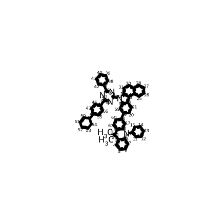 CC1(C)c2ccccc2N(c2ccccc2)c2cc(-c3ccc4c5c6ccccc6ccc5n(-c5nc(-c6ccccc6)nc(-c6ccc(C7C=CC=CC7)cc6)n5)c4c3)ccc21